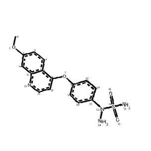 COc1ccc2c(Oc3ccc(N(N)S(N)(=O)=O)cc3)ccnc2c1